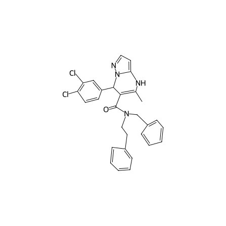 CC1=C(C(=O)N(CCc2ccccc2)Cc2ccccc2)C(c2ccc(Cl)c(Cl)c2)n2nccc2N1